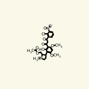 COc1cc(OC)c(C2CCN(C)C2COC(C)=O)c(O)c1C(=O)CC(=O)c1cccc([N+](=O)[O-])c1Cl